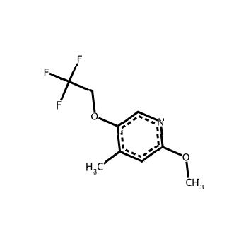 COc1cc(C)c(OCC(F)(F)F)cn1